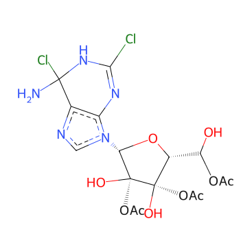 CC(=O)OC(O)[C@H]1O[C@@H](n2cnc3c2N=C(Cl)NC3(N)Cl)[C@@](O)(OC(C)=O)[C@@]1(O)OC(C)=O